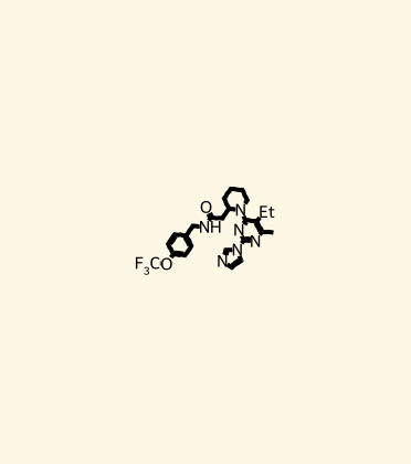 CCc1c(C)nc(-n2ccnc2)nc1N1CCCCC1CC(=O)NCc1ccc(OC(F)(F)F)cc1